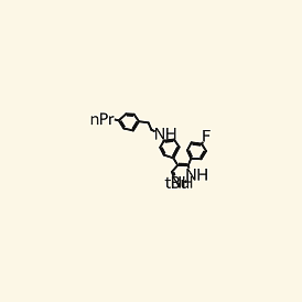 CCCc1ccc(CCNc2ccc(/C(C=N)=C(/NC(C)(C)C)c3ccc(F)cc3)cc2)cc1